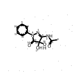 CC(=O)NC1=NN(c2ccccc2)C(=O)C1(O)O